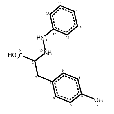 O=C(O)C(Cc1ccc(O)cc1)NNc1ccccc1